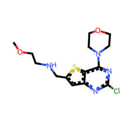 COCCNCc1cc2nc(Cl)nc(N3CCOCC3)c2s1